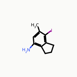 Cc1cc(N)c2c(c1I)CCC2